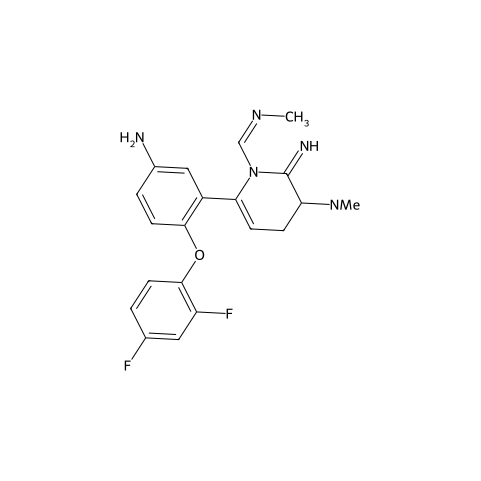 C/N=C\N1C(=N)C(NC)CC=C1c1cc(N)ccc1Oc1ccc(F)cc1F